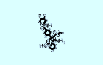 CCOC(=O)c1c(-c2ccc(C(=O)Nc3cc(C)c(F)cn3)cc2)nc([C@@H]2CCCCN2C(=O)O)n1N